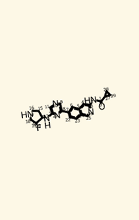 O=C(Nc1cc2cc(-c3cncc(N[C@H]4CCNC[C@@H]4F)n3)ccc2cn1)C1CC1